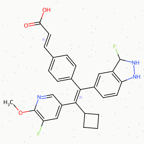 COc1ncc(/C(=C(\c2ccc(/C=C/C(=O)O)cc2)c2ccc3c(c2)C(F)NN3)C2CCC2)cc1F